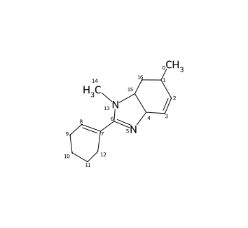 CC1C=CC2N=C(C3=CCCCC3)N(C)C2C1